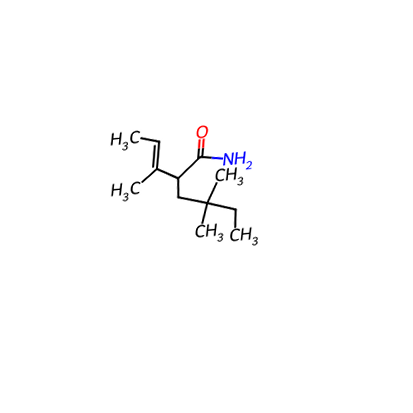 C/C=C(\C)C(CC(C)(C)CC)C(N)=O